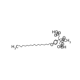 CCCCCCCCCCCCCCCCCCOc1ccc(C(CCS(=O)(=O)O)(CCS(=O)(=O)O)CS(C)(=O)=O)cc1